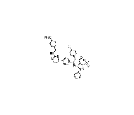 COc1ccc(CNc2nccc(-c3ccc(-c4nc5c(c(S(C)(=O)=O)nn5-c5ccccc5)c(=O)n4-c4ccc(Cl)cc4)cc3)n2)cc1